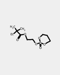 CCC(C)(C)C(=O)OCCOP1(=O)OCCCO1